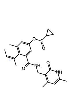 C/C=C(/C)c1c(C)cc(OS(=O)C2CC2)cc1C(=O)NCc1c(C)cc(C)[nH]c1=O